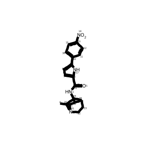 CC1C(NC(=O)c2ccc(-c3ccc([N+](=O)[O-])cc3)[nH]2)C2CCN1CC2